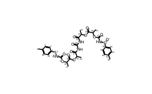 Cc1ccc(SNC(=O)OC(C)C(=O)OC(C)C(=O)NC(=O)NC(=O)C(C)OC(=O)C(C)OC(=O)N[S+]([O-])c2ccc(C)cc2)cc1